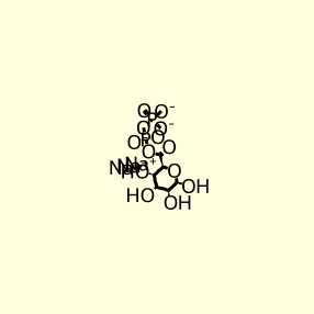 O=C(OP(=O)([O-])OP(=O)([O-])[O-])[C@H]1O[C@@H](O)[C@H](O)[C@@H](O)[C@@H]1O.[Na+].[Na+].[Na+]